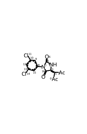 CC(=O)C(C(C)=O)=C1NC(=O)N(c2cc(Cl)cc(Cl)c2)C1=O